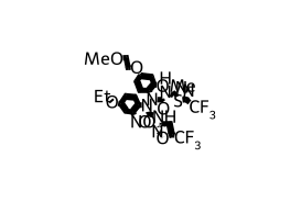 CCOc1ccc(N(C(=O)Nc2cc(C(F)(F)F)on2)N(C(=O)Nc2nnc(C(F)(F)F)s2)c2ccc(OCCOC)cc2OC)c([N+](=O)[O-])c1